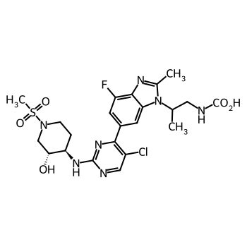 Cc1nc2c(F)cc(-c3nc(N[C@@H]4CCN(S(C)(=O)=O)C[C@H]4O)ncc3Cl)cc2n1C(C)CNC(=O)O